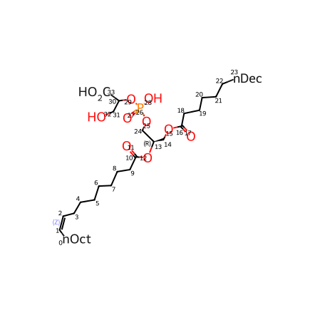 CCCCCCCC/C=C\CCCCCCCC(=O)O[C@H](COC(=O)CCCCCCCCCCCCCCC)COP(=O)(O)OC(CO)C(=O)O